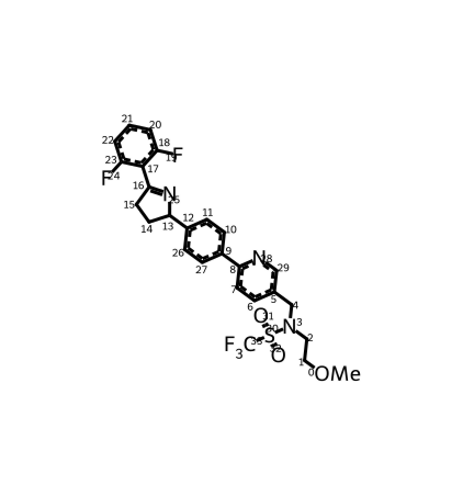 COCCN(Cc1ccc(-c2ccc(C3CCC(c4c(F)cccc4F)=N3)cc2)nc1)S(=O)(=O)C(F)(F)F